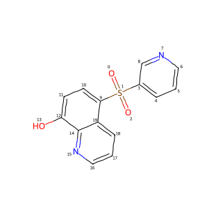 O=S(=O)(c1cccnc1)c1ccc(O)c2ncccc12